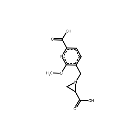 COc1nc(C(=O)O)ccc1CN1CC1C(=O)O